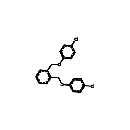 Clc1ccc(OCc2ccccc2COc2ccc(Cl)cc2)cc1